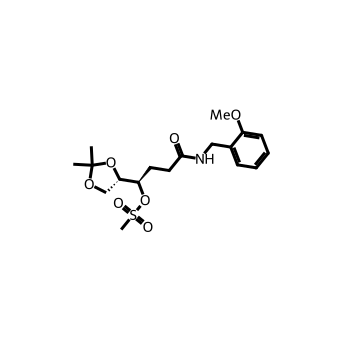 COc1ccccc1CNC(=O)CC[C@@H](OS(C)(=O)=O)[C@@H]1COC(C)(C)O1